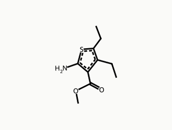 CCc1sc(N)c(C(=O)OC)c1CC